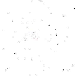 CCc1nc2c(cc1Nc1ccccc1OC)c(OCC(F)(F)F)c(C(=O)NC1CCN(C(=O)CO)CC1)n2C